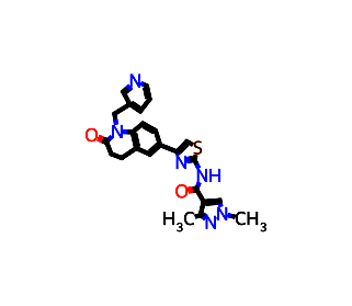 Cc1nn(C)cc1C(=O)Nc1nc(-c2ccc3c(c2)CCC(=O)N3Cc2cccnc2)cs1